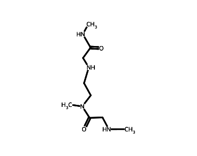 CNCC(=O)N(C)CCNCC(=O)NC